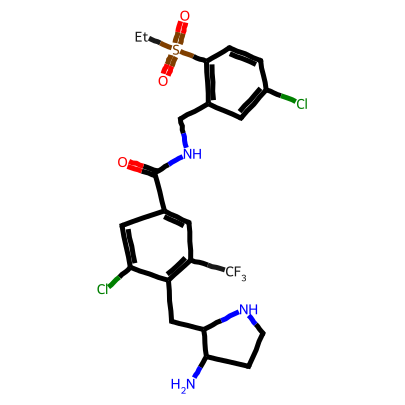 CCS(=O)(=O)c1ccc(Cl)cc1CNC(=O)c1cc(Cl)c(CC2NCCC2N)c(C(F)(F)F)c1